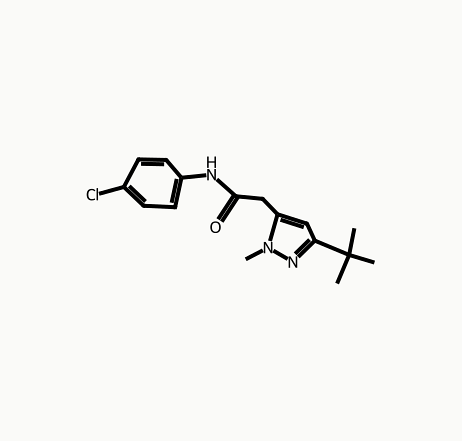 Cn1nc(C(C)(C)C)cc1CC(=O)Nc1ccc(Cl)cc1